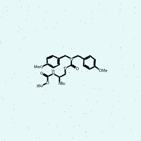 CCCCC(COC(=O)N(Cc1ccc(OC)cc1)Cc1ccc(OC)cc1)NC(=O)OC(C)(C)C